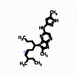 CCCC(C/C=C\C(C)CC)n1c(C)nc2ncc(Nc3cc(C)[nH]n3)nc21